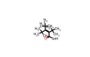 CC(C)(C)C([C](=O)[SnH])=C(C(C)(C)C)C(C)(C)C